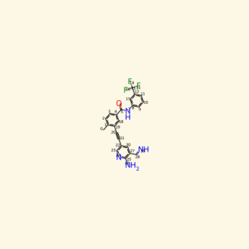 Cc1ccc(C(=O)Nc2cccc(C(F)(F)F)c2)cc1C#Cc1cnc(N)c(C=N)c1